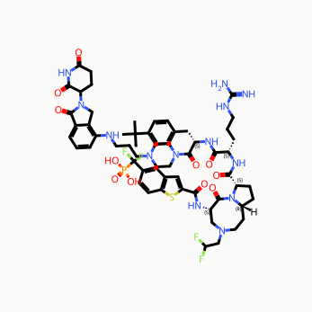 CC(C)(C)c1ccc(C[C@H](NC(=O)[C@H](CCCNC(=N)N)NC(=O)[C@@H]2CC[C@@H]3CCN(CC(F)F)C[C@H](NC(=O)c4cc5cc(C(F)(F)P(=O)(O)O)ccc5s4)C(=O)N32)C(=O)N2CCN(CCCNc3cccc4c3CN(C3CCC(=O)NC3=O)C4=O)CC2)cc1